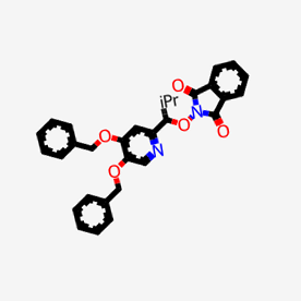 CC(C)C(ON1C(=O)c2ccccc2C1=O)c1cc(OCc2ccccc2)c(OCc2ccccc2)cn1